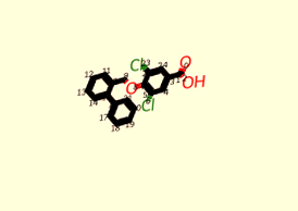 O=C(O)c1cc(Cl)c(OCc2ccccc2-c2ccccc2)c(Cl)c1